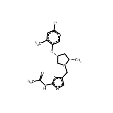 CC(=O)Nc1ncc(CN2C[C@H](Oc3cnc(Cl)cc3C)C[C@@H]2C)s1